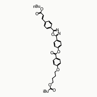 CCCCOC(=O)/C=C/c1ccc(-c2nnc(-c3ccc(OC(=O)c4ccc(OCCCCOC(=O)C(C)CC)cc4)cc3)o2)cc1